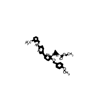 CCOC(=O)[C@H]1C[C@@H]1c1nc(-c2ccc(NCc3cccc(C)c3)nc2)ccc1OCc1ccc(OC)cc1